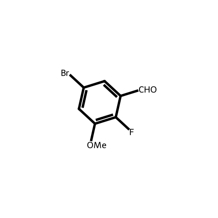 COc1cc(Br)cc(C=O)c1F